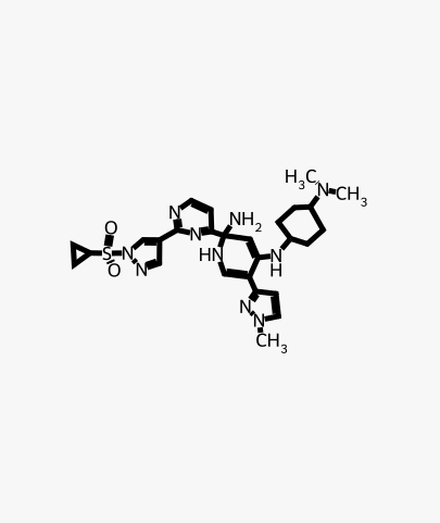 CN(C)C1CCC(NC2=CC(N)(c3ccnc(-c4cnn(S(=O)(=O)C5CC5)c4)n3)NC=C2c2ccn(C)n2)CC1